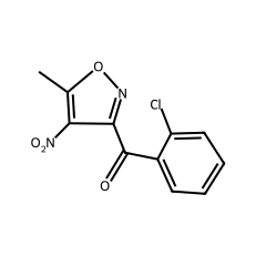 Cc1onc(C(=O)c2ccccc2Cl)c1[N+](=O)[O-]